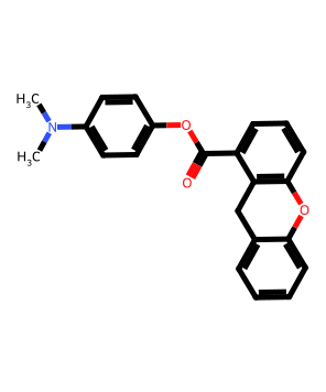 CN(C)c1ccc(OC(=O)c2cccc3c2Cc2ccccc2O3)cc1